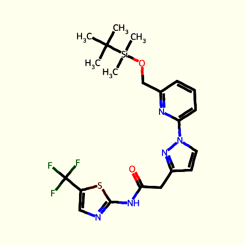 CC(C)(C)[Si](C)(C)OCc1cccc(-n2ccc(CC(=O)Nc3ncc(C(F)(F)F)s3)n2)n1